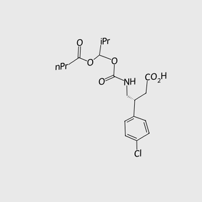 CCCC(=O)OC(OC(=O)NC[C@H](CC(=O)O)c1ccc(Cl)cc1)C(C)C